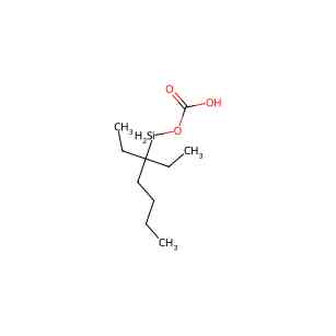 CCCCC(CC)(CC)[SiH2]OC(=O)O